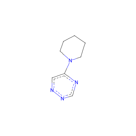 c1nncc(N2CCCCC2)n1